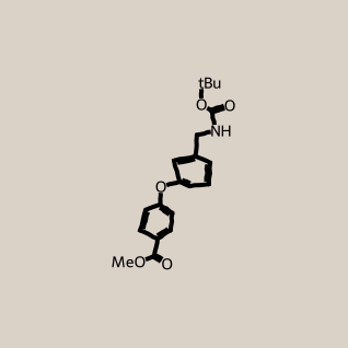 COC(=O)c1ccc(Oc2cccc(CNC(=O)OC(C)(C)C)c2)cc1